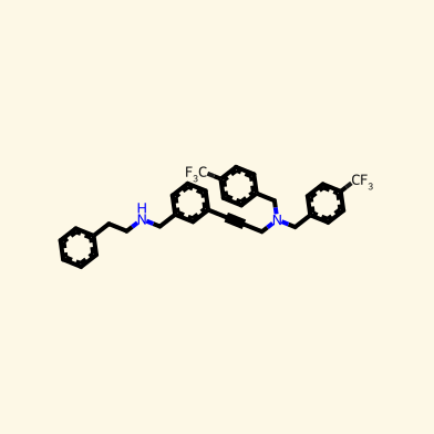 FC(F)(F)c1ccc(CN(CC#Cc2cccc(CNCCc3ccccc3)c2)Cc2ccc(C(F)(F)F)cc2)cc1